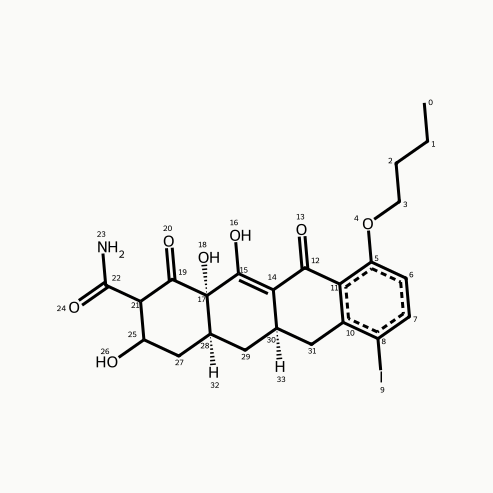 CCCCOc1ccc(I)c2c1C(=O)C1=C(O)[C@]3(O)C(=O)C(C(N)=O)C(O)C[C@@H]3C[C@@H]1C2